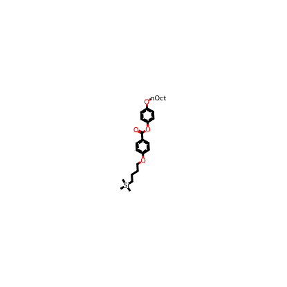 CCCCCCCCOc1ccc(OC(=O)c2ccc(OCCCC[Si](C)(C)C)cc2)cc1